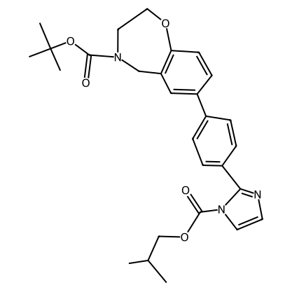 CC(C)COC(=O)n1ccnc1-c1ccc(-c2ccc3c(c2)CN(C(=O)OC(C)(C)C)CCO3)cc1